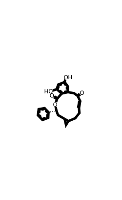 O=C1/C=C/CCC2CC2C[C@H](c2ccccc2)OC(=O)c2c(O)cc(O)cc2C1